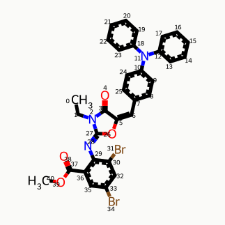 CCN1C(=O)/C(=C\c2ccc(N(c3ccccc3)c3ccccc3)cc2)OC1=Nc1c(Br)cc(Br)cc1C(=O)OC